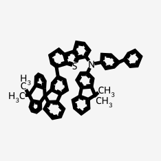 CC1(C)c2ccccc2-c2ccc(N(c3ccc(-c4ccccc4)cc3)c3cccc4c3sc3c(-c5ccc6c(c5)C5(c7ccccc7-6)c6ccccc6C(C)(C)c6ccccc65)cccc34)cc21